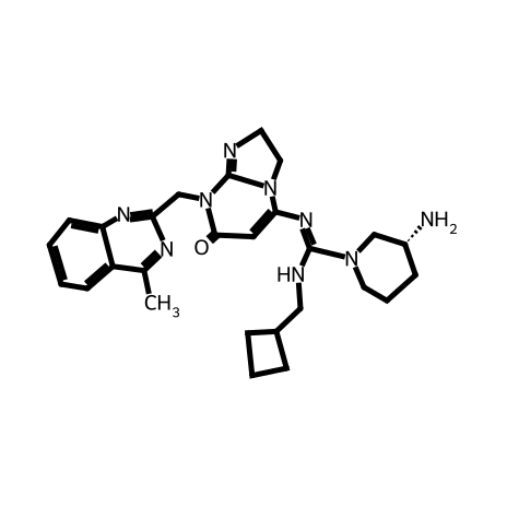 Cc1nc(CN2C(=O)C=C(/N=C(\NCC3CCC3)N3CCC[C@@H](N)C3)N3CCN=C23)nc2ccccc12